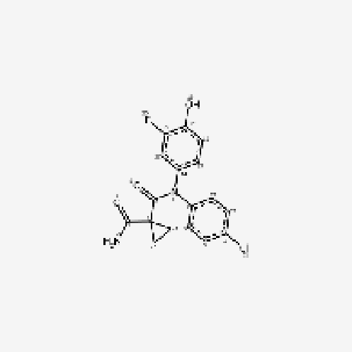 NC(=O)C1(C(=O)N(c2ccc(Cl)cc2)c2ccc(O)c(F)c2)CC1